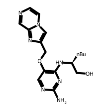 CCCC[C@@H](CO)Nc1nc(N)ncc1OCc1cn2ccncc2n1